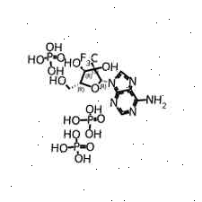 Nc1ncnc2c1ncn2[C@@H]1O[C@H](CO)[C@@H](O)[C@@]1(O)C(F)(F)F.O=P(O)(O)O.O=P(O)(O)O.O=P(O)(O)O